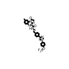 CCCc1ccc(C)cc1N1C(=O)CS/C1=N\C(=O)N/N=C/c1ccc(-c2ncn(-c3ccc(OC(F)(F)F)cc3)n2)cc1